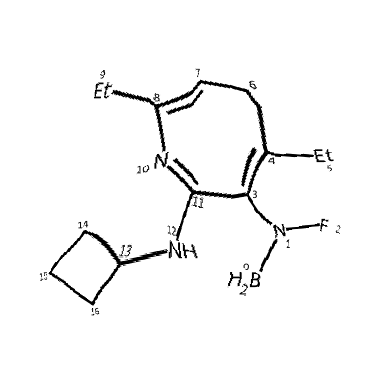 BN(F)C1=C(CC)CC=C(CC)N=C1NC1CCC1